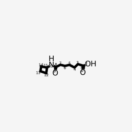 O=C(O)CCCCCC(=O)NC1CCC1